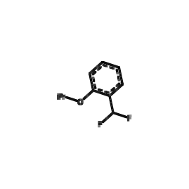 CC(C)Oc1ccccc1C(F)F